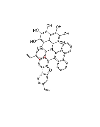 C=Cc1ccc(N(c2c(-c3cccc4c3oc3cc(C=C)ccc34)c3ccccc3c3ccccc23)C2C(O)=C(O)C(O)=C3C(O)=C(O)C(O)=C(O)C32)cc1